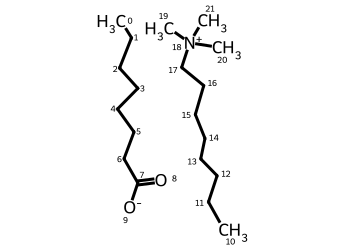 CCCCCCCC(=O)[O-].CCCCCCCC[N+](C)(C)C